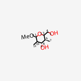 COC1OC(CO)[C@@H](C)[C@H](O)C1C